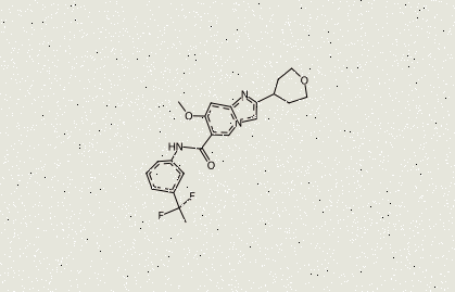 COc1cc2nc(C3CCOCC3)cn2cc1C(=O)Nc1cccc(C(C)(F)F)c1